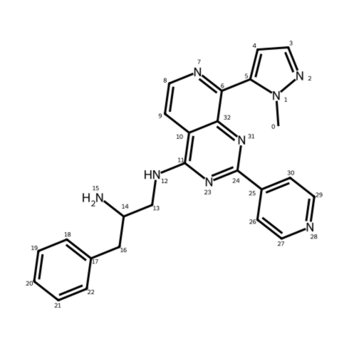 Cn1nccc1-c1nccc2c(NCC(N)Cc3ccccc3)nc(-c3ccncc3)nc12